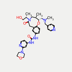 C[C@@H]1CN([C@@H](C)CO)C(=O)Cc2cc(NC(=O)Nc3ccnc(N4CCOCC4)c3)ccc2O[C@H]1CN(C)Cc1ccncc1